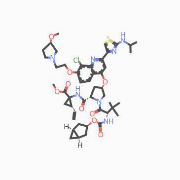 C=C[C@@H]1CC1(NC(=O)[C@@H]1C[C@@H](Oc2cc(-c3csc(NC(C)C)n3)nc3c(Cl)c(OCCN4CC[C@@H](OC)C4)ccc23)CN1C(=O)[C@@H](NC(=O)O[C@@H]1C[C@@H]2C[C@@H]2C1)C(C)(C)C)C(=O)OC